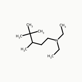 CCN(CC)CCC(C)C(C)(C)C